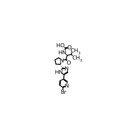 CC(C)[C@H](NC(=O)O)C(=O)N1CCC[C@H]1c1ncc(-c2ccc(Br)nc2)[nH]1